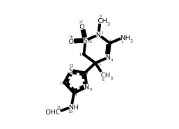 CN1C(N)=NC(C)(c2nc(NC=O)cs2)CS1(=O)=O